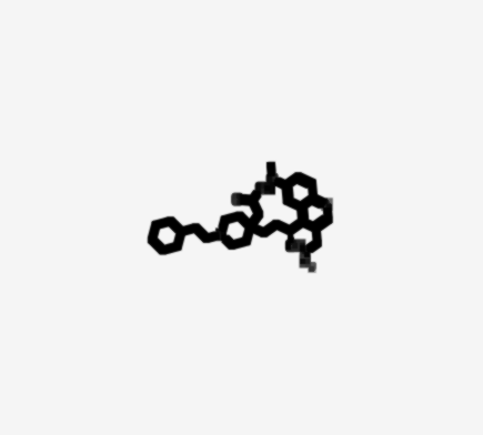 COc1ccc2ncc(CN)c([C@H](O)CCC3(CC(=O)O)CCN(CCC4CCCCC4)CC3)c2c1